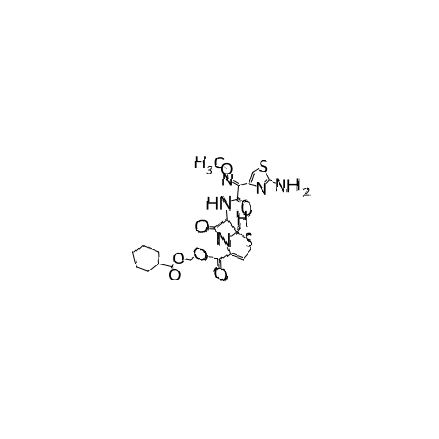 CON=C(C(=O)NC1C(=O)N2C(C(=O)OCOC(=O)C3CCCCC3)=CCS[C@@H]12)c1csc(N)n1